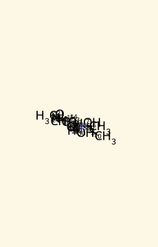 CC#CC[C@H](C)[C@H](O)/C=C/[C@@H]1[C@H]2c3cccc(OCCC(=O)N(C)C)c3O[C@H]2C[C@H]1O